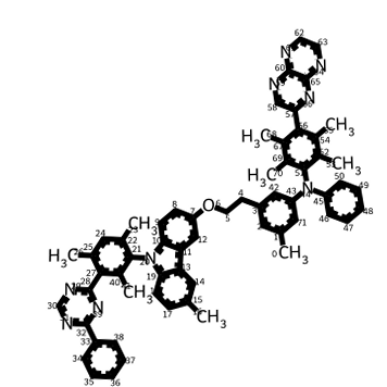 Cc1cc(CCOc2ccc3c(c2)c2cc(C)ccc2n3-c2c(C)cc(C)c(-c3ncnc(-c4ccccc4)n3)c2C)cc(N(c2ccccc2)c2c(C)c(C)c(-c3cnc4nccnc4n3)c(C)c2C)c1